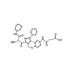 N#CC(C(=O)Nc1ccccc1)C(=O)c1nn(-c2ccccc2)c2c1CSc1ccc(NC(=O)CCC(=O)O)cc1-2